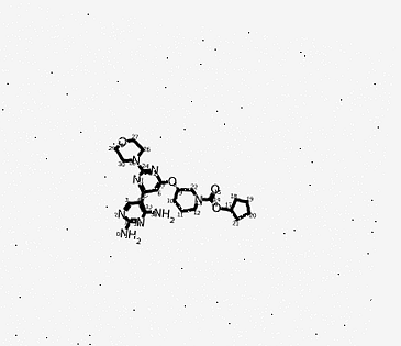 Nc1ncc(-c2cc(O[C@H]3CCCN(C(=O)OC4CCCC4)C3)nc(N3CCOCC3)n2)c(N)n1